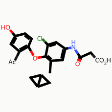 C1C2CC12.CC(=O)c1cc(O)ccc1Oc1c(C)cc(NC(=O)CC(=O)O)cc1Cl